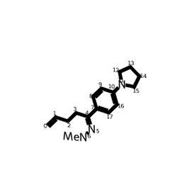 C=CCCC(=NNC)c1ccc(N2CCCC2)cc1